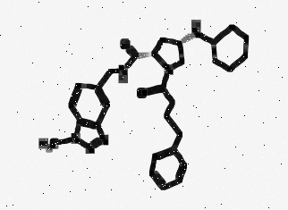 Cn1nnc2cc(CNC(=O)[C@@H]3C[C@H](NC4CCCCC4)CN3C(=O)CCCc3ccccc3)ccc21